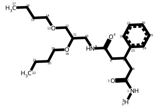 [3H]NC(=O)CC(CC(=O)NCC(COCCCC)OCCCC)c1ccccc1